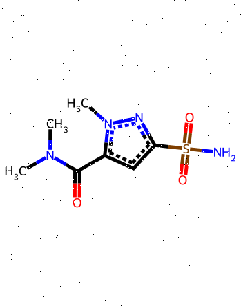 CN(C)C(=O)c1cc(S(N)(=O)=O)nn1C